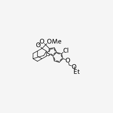 CCOCOc1ccc2sc(C3(OC)OOC34C3CC5CC(C3)CC4C5)cc2c1Cl